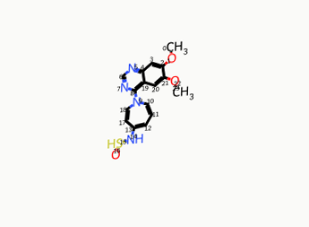 COc1cc2ncnc(N3C=CC=C(N[SH]=O)C=C3)c2cc1OC